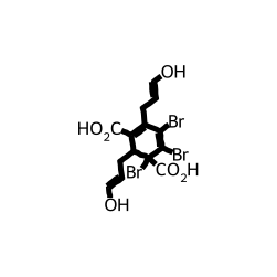 O=C(O)C1=C(CC=CO)C(Br)=C(Br)C(Br)(C(=O)O)C1CC=CO